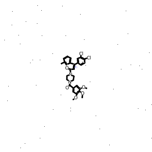 COc1cc(C(=O)N2CCN(C(=O)/C=C(\c3cccc(C)c3)c3ccc(Cl)c(Cl)c3)CC2)cc(OC)c1OC